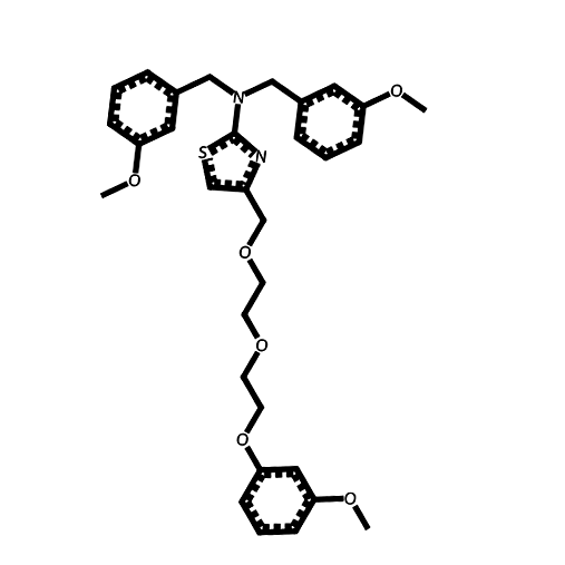 COc1cccc(CN(Cc2cccc(OC)c2)c2nc(COCCOCCOc3cccc(OC)c3)cs2)c1